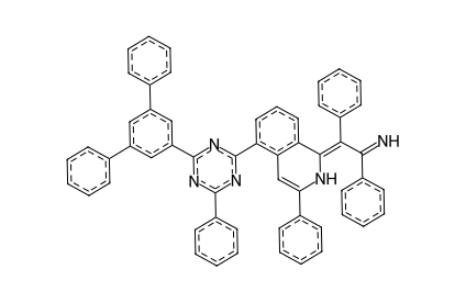 N=C(/C(=C1\NC(c2ccccc2)=Cc2c1cccc2-c1nc(-c2ccccc2)nc(-c2cc(-c3ccccc3)cc(-c3ccccc3)c2)n1)c1ccccc1)c1ccccc1